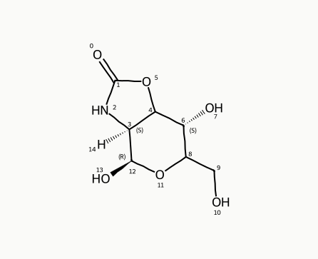 O=C1N[C@H]2C(O1)[C@H](O)C(CO)O[C@H]2O